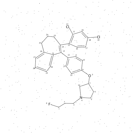 FCCCN1CCC(Oc2ccc(C3=C(c4ccc(Cl)cc4Cl)CCCc4c[c]ccc43)cc2)C1